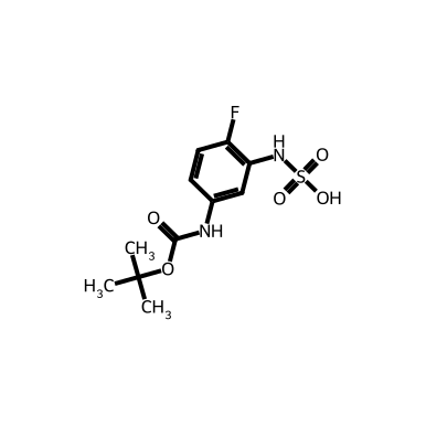 CC(C)(C)OC(=O)Nc1ccc(F)c(NS(=O)(=O)O)c1